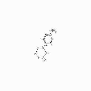 Nc1ccc(C2CCCC(I)C2)cc1